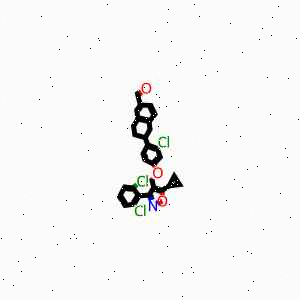 O=Cc1ccc2c(c1)CCC(c1ccc(OCc3c(-c4c(Cl)cccc4Cl)noc3C3CC3)cc1Cl)C2